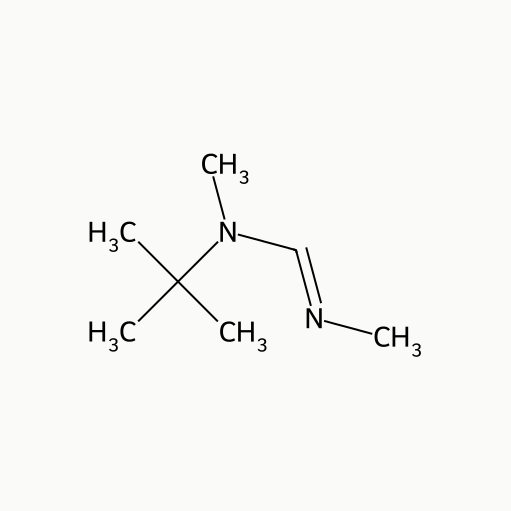 CN=CN(C)C(C)(C)C